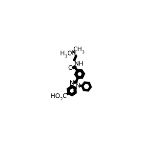 CN(C)CCNC(=O)c1cccc(-c2nc3cc(C(=O)O)ccc3n2C2CCCCC2)c1